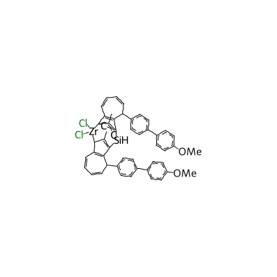 COc1ccc(-c2ccc(C3C=CC=CC4=C3C3=C(C)[CH]4[Zr]([Cl])([Cl])[C]45CCC[SiH]3C(=C4C)C3=C5C=CC=CC3c3ccc(-c4ccc(OC)cc4)cc3)cc2)cc1